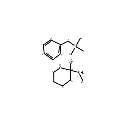 C[N+](C)(C)Cc1ccccc1.C[SiH2]C1([O-])CCCCO1